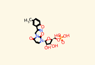 Cc1ccc2onc(Cn3c(=O)ccn([C@@H]4O[C@H](COP(=O)(O)O)[C@H](O)[C@@H]4O)c3=O)c2c1